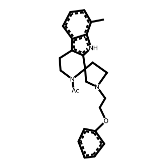 CC(=O)N1CCc2c([nH]c3c(C)cccc23)C12CCN(CCOc1ccccc1)C2